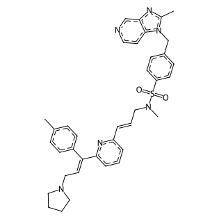 Cc1ccc(/C(=C\CN2CCCC2)c2cccc(/C=C/CN(C)S(=O)(=O)c3ccc(Cn4c(C)nc5cnccc54)cc3)n2)cc1